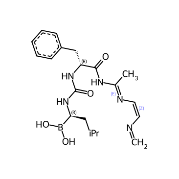 C=N/C=C\N=C(/C)NC(=O)[C@@H](Cc1ccccc1)NC(=O)N[C@@H](CC(C)C)B(O)O